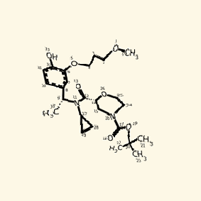 COCCCOc1cc([C@@H](C)N(C(=O)[C@H]2CN(C(=O)OC(C)(C)C)CCO2)C2CC2)ccc1O